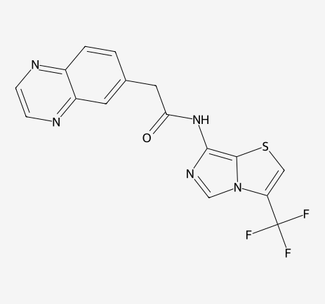 O=C(Cc1ccc2nccnc2c1)Nc1ncn2c(C(F)(F)F)csc12